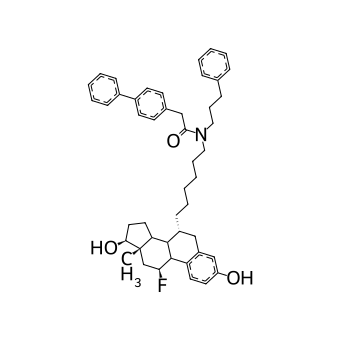 C[C@]12C[C@H](F)C3c4ccc(O)cc4C[C@@H](CCCCCCN(CCCc4ccccc4)C(=O)Cc4ccc(-c5ccccc5)cc4)C3C1CC[C@@H]2O